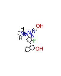 Oc1cc(-c2ccc3c(N4C[C@H]5CC[C@@H](C4)N5)nc(N4CC(O)C4)nc3c2F)c2ccccc2c1